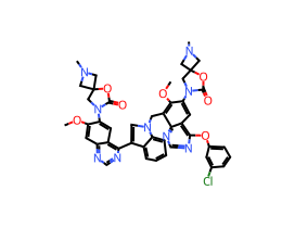 COc1cc2ncnc(-c3cn(Cc4c(OC)c(N5CC6(CN(C)C6)OC5=O)cc5c(Oc6cccc(Cl)c6)ncnc45)c4ccccc34)c2cc1N1CC2(CN(C)C2)OC1=O